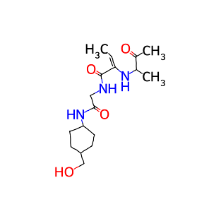 C/C=C(/NC(C)C(C)=O)C(=O)NCC(=O)NC1CCC(CO)CC1